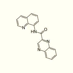 O=C(Nc1cccc2cccnc12)c1cnc2ccccc2n1